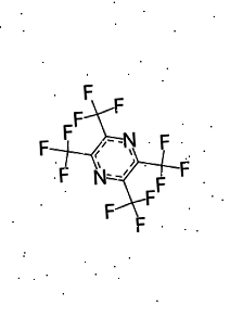 FC(F)(F)c1nc(C(F)(F)F)c(C(F)(F)F)nc1C(F)(F)F